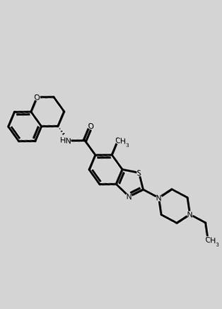 CCN1CCN(c2nc3ccc(C(=O)N[C@H]4CCOc5ccccc54)c(C)c3s2)CC1